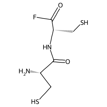 N[C@@H](CS)C(=O)N[C@@H](CS)C(=O)F